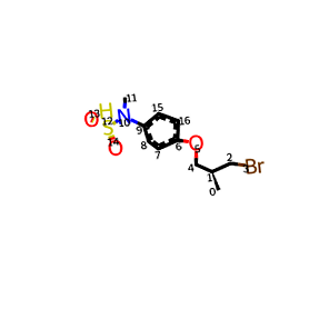 C[C@H](CBr)COc1ccc(N(C)[SH](=O)=O)cc1